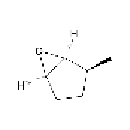 C[C@H]1CC[C@H]2O[C@@H]12